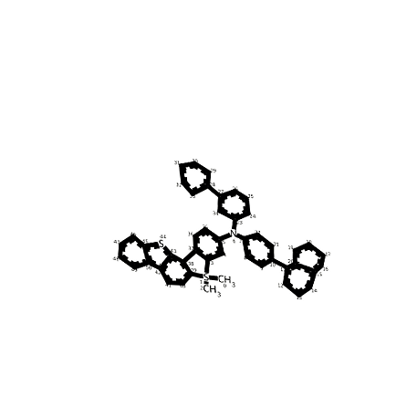 CS1(C)c2cc(N(c3ccc(-c4cccc5ccccc45)cc3)c3cccc(-c4ccccc4)c3)ccc2-c2c1ccc1c2sc2ccccc21